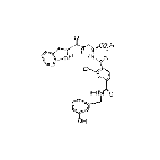 O=C(NCc1cccc(O)c1)c1ccc(C(=O)N[C@@H](CNC(=O)C2Cc3ccccc3N2)C(=O)O)c(Cl)c1